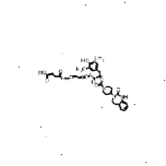 Cc1cc(C[C@@H](OC(=O)N2CCC(N3CCc4ccccc4NC3=O)CC2)C(=O)N=C=C=CC=C=C=NC(=O)CCC(=O)O)cc(C)c1O